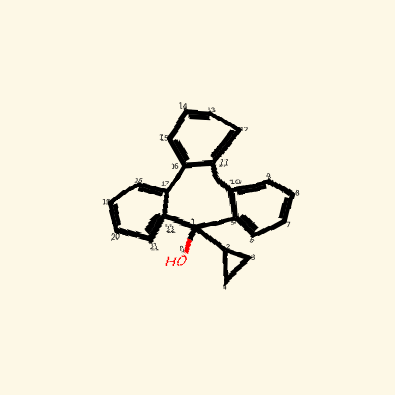 OC1(C2CC2)c2ccccc2-c2ccccc2-c2ccccc21